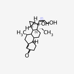 CC[C@]12CCC3C(C(C)CC4=CC(=O)CC[C@@H]43)C1[C@@H]1C[C@@H]1[C@@]2(O)/C=C\CO